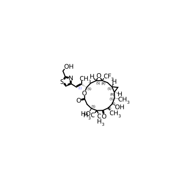 C/C(=C\c1csc(CO)n1)[C@@H]1C[C@@H]2O[C@]2(C(F)(F)F)C[C@@H]2C[C@H]2[C@H](C)[C@H](O)[C@@H](C)C(=O)C(C)(C)[C@@H](O)CC(=O)O1